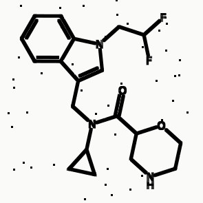 O=C(C1CNCCO1)N(Cc1cn(CC(F)F)c2ccccc12)C1CC1